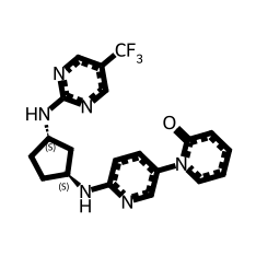 O=c1ccccn1-c1ccc(N[C@H]2CC[C@H](Nc3ncc(C(F)(F)F)cn3)C2)nc1